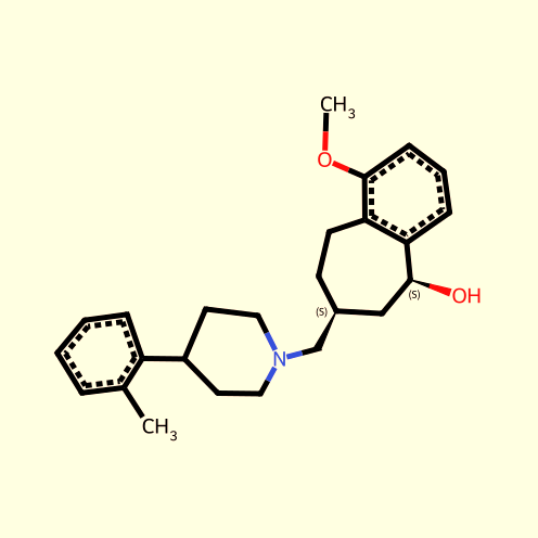 COc1cccc2c1CC[C@H](CN1CCC(c3ccccc3C)CC1)C[C@@H]2O